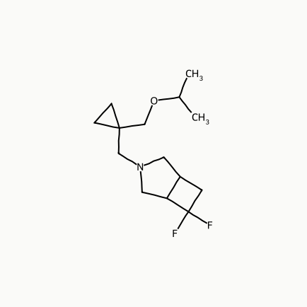 CC(C)OCC1(CN2CC3CC(F)(F)C3C2)CC1